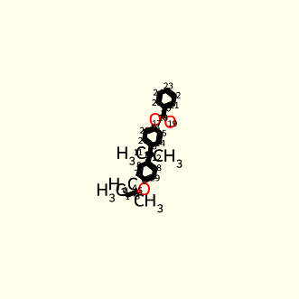 CCC(C)(C)Oc1ccc(C(C)(C)c2ccc(OC(=O)c3ccccc3)cc2)cc1